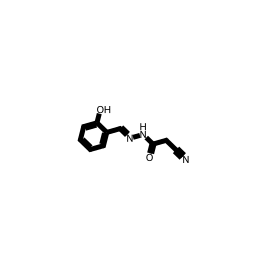 N#CCC(=O)N/N=C/c1ccccc1O